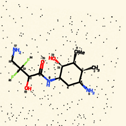 CO[C@H]1[C@H](C)[C@@H](N)C[C@@H](NC(=O)C(O)C(F)(F)CN)[C@@H]1O